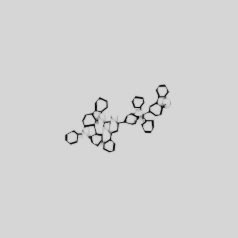 c1ccc(-c2cc(-c3ccc([Si](c4ccccc4)(c4ccccc4)c4ccc5oc6ccccc6c5c4)cc3)nc(-n3c4ccccc4c4ccc5c(c6ccccc6n5-c5ccccc5)c43)n2)cc1